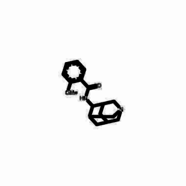 COc1ccccc1C(=O)NC1C2CC3CC1CN(C3)C2